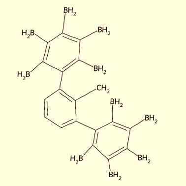 Bc1c(B)c(B)c(-c2cccc(-c3c(B)c(B)c(B)c(B)c3B)c2C)c(B)c1B